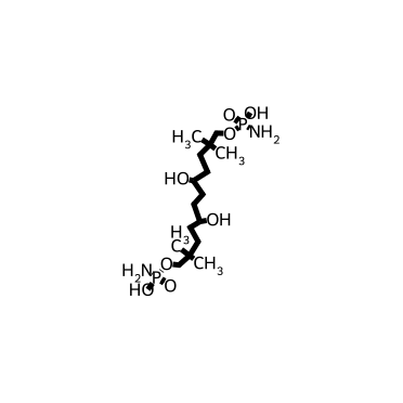 CC(C)(CCC(O)CCC(O)CCC(C)(C)COP(N)(=O)O)COP(N)(=O)O